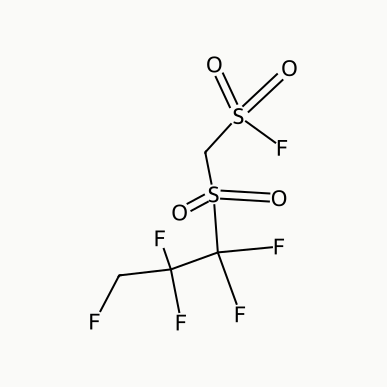 O=S(=O)(F)CS(=O)(=O)C(F)(F)C(F)(F)CF